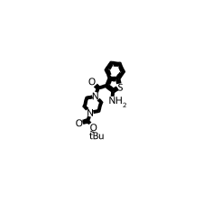 CC(C)(C)OC(=O)N1CCN(C(=O)c2c(N)sc3ccccc23)CC1